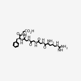 N=C(N)NCCC[C@H](N)C(=O)NCC(=O)NCC(=O)NCC(=O)N[C@@H](Cc1ccccc1)C(=O)NCC(=O)O